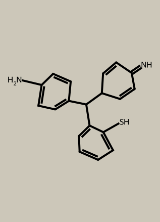 N=C1C=CC(C(c2ccc(N)cc2)c2ccccc2S)C=C1